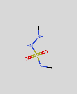 CNNS(=O)(=O)NC